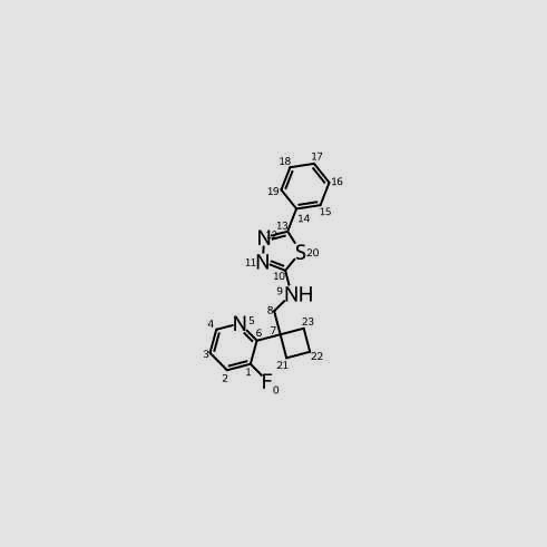 Fc1cccnc1C1(CNc2nnc(-c3ccccc3)s2)CCC1